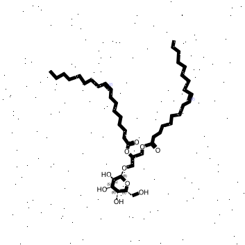 CCCCCCCC/C=C\CCCCCCCC(=O)OCC(CO[C@@H]1O[C@H](CO)[C@H](O)[C@H](O)[C@@H]1O)OC(=O)CCCCCCC/C=C\CCCCCCCC